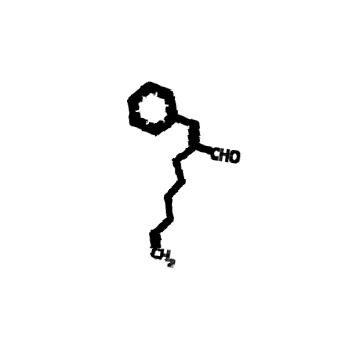 C=CCCCCC(C=O)=Cc1ccccc1